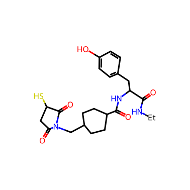 CCNC(=O)C(Cc1ccc(O)cc1)NC(=O)C1CCC(CN2C(=O)CC(S)C2=O)CC1